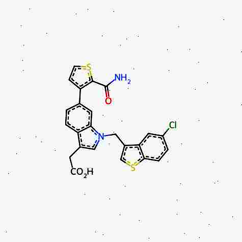 NC(=O)c1sccc1-c1ccc2c(CC(=O)O)cn(Cc3csc4ccc(Cl)cc34)c2c1